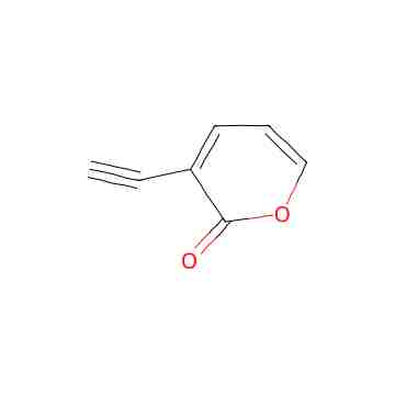 C#Cc1cccoc1=O